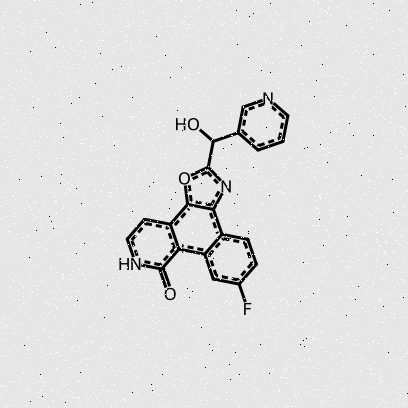 O=c1[nH]ccc2c3oc(C(O)c4cccnc4)nc3c3ccc(F)cc3c12